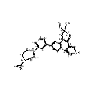 O=c1c2c[nH]nc2c2ccc(-c3ccnc(N4CCN(C5CC5)CC4)c3)cc2n1CC(F)(F)F